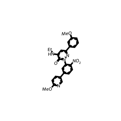 CCNc1cc(-c2cccc(OC)c2)nn(-c2cc(-c3ccc(OC)nc3)ccc2[N+](=O)[O-])c1=O